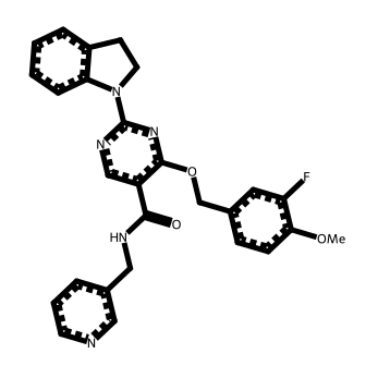 COc1ccc(COc2nc(N3CCc4ccccc43)ncc2C(=O)NCc2cccnc2)cc1F